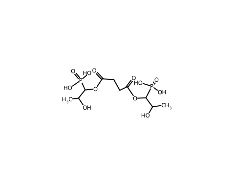 CC(O)C(OC(=O)CCC(=O)OC(C(C)O)P(=O)(O)O)P(=O)(O)O